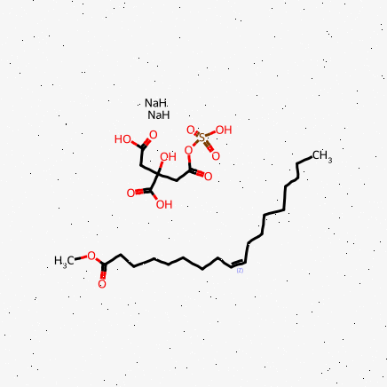 CCCCCCCC/C=C\CCCCCCCC(=O)OC.O=C(O)CC(O)(CC(=O)OS(=O)(=O)O)C(=O)O.[NaH].[NaH]